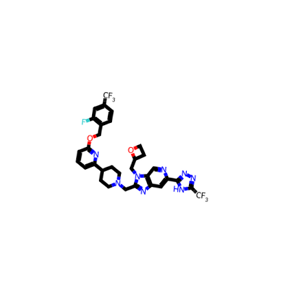 Fc1cc(C(F)(F)F)ccc1COc1cccc(C2CCN(Cc3nc4cc(-c5nnc(C(F)(F)F)[nH]5)ncc4n3CC3CCO3)CC2)n1